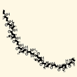 CCCNC(=O)CCNC(=O)c1nc(NC(=O)c2cc(NC(=O)CCNC(=O)c3nc(NC(=O)[C@H](N)CCNC(=O)c4cc(NC(=O)c5nc(NC(=O)CCNC(=O)c6cc(NC(=O)c7nccn7C)cn6C)cn5C)cn4C)cn3C)cn2C)cn1C